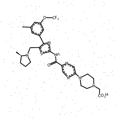 Cc1cc(OC(F)(F)F)cc(-c2nc(NC(=O)c3cnc(N4CCN(CC(=O)O)CC4)cn3)sc2CN2CCC[C@H]2C)c1